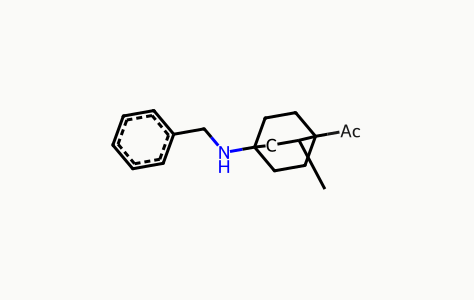 CC(=O)C12CCC(NCc3ccccc3)(CC1)CC2C